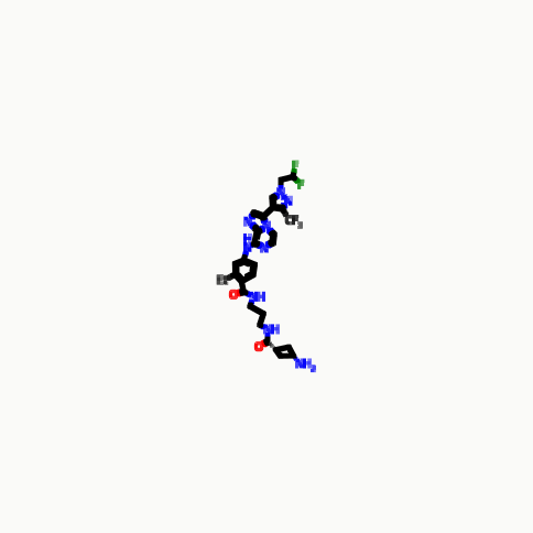 CCc1cc(Nc2nccn3c(-c4cn(CC(F)F)nc4C(F)(F)F)cnc23)ccc1C(=O)NCCCNC(=O)[C@H]1C[C@@H](N)C1